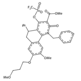 COCCCOc1cc2c(cc1OC)-c1c(c(OS(=O)(=O)C(F)(F)F)c(C(=O)OC)c(=O)n1Cc1ccccc1)C(C(C)C)C2